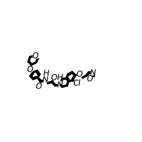 O=C(NCC(O)CN1CCc2c(ccc(OCc3cnco3)c2Cl)C1)c1ccc(OC2CCOCC2)cc1